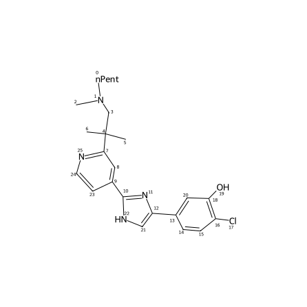 CCCCCN(C)CC(C)(C)c1cc(-c2nc(-c3ccc(Cl)c(O)c3)c[nH]2)ccn1